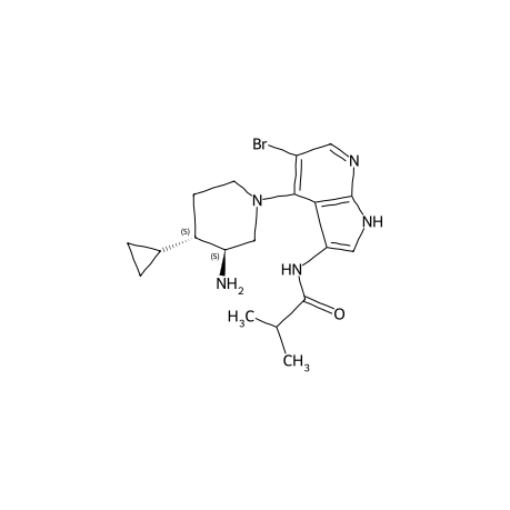 CC(C)C(=O)Nc1c[nH]c2ncc(Br)c(N3CC[C@@H](C4CC4)[C@H](N)C3)c12